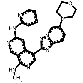 CNc1ncc(-c2nc3ccc(N4CCOCC4)cn3n2)c2cc(Nc3ccccn3)ncc12